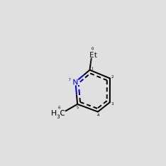 [CH2]Cc1cccc(C)n1